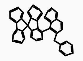 c1ccc(Cc2ccc3ccccc3c2-c2cccc3c2-c2ccccc2C32c3ccccc3-c3ccccc32)cc1